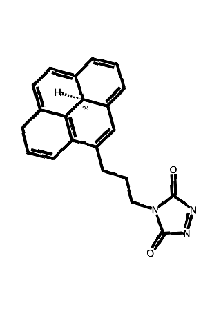 O=C1N=NC(=O)N1CCCC1=CC2=CC=CC3=CC=C4CC=CC1=C4[C@@H]32